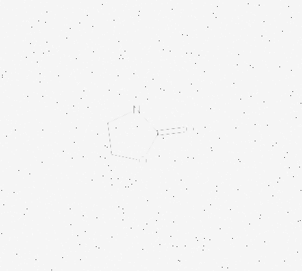 O=C1[N]C[CH]O1